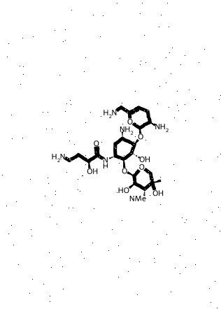 CN[C@@H]1[C@@H](O)[C@@H](O[C@@H]2[C@@H](O)[C@H](O[C@H]3OC(CN)=CC[C@H]3N)[C@@H](N)C[C@H]2NC(=O)[C@@H](O)CCN)OC[C@]1(C)O